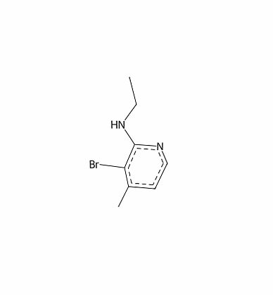 CCNc1nccc(C)c1Br